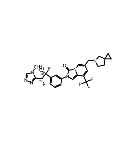 Cn1cnnc1[C@@H](F)[C@](C)(F)c1cccc(-n2cc3c(C(F)(F)F)cc(CN4CCC5(CC5)C4)cn3c2=O)c1